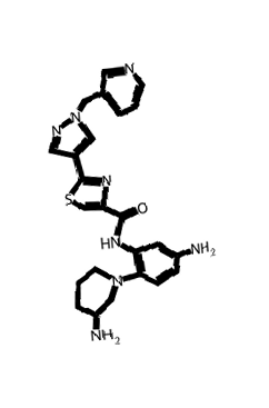 Nc1ccc(N2CCCC(N)C2)c(NC(=O)c2csc(-c3cnn(Cc4cccnc4)c3)n2)c1